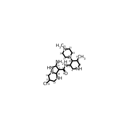 CC1CNCC(NC(=O)C2C(N)NN3CC(Cl)CNC23)C1N1CCN(C)CC1